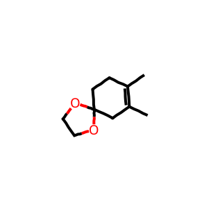 CC1=C(C)CC2(CC1)OCCO2